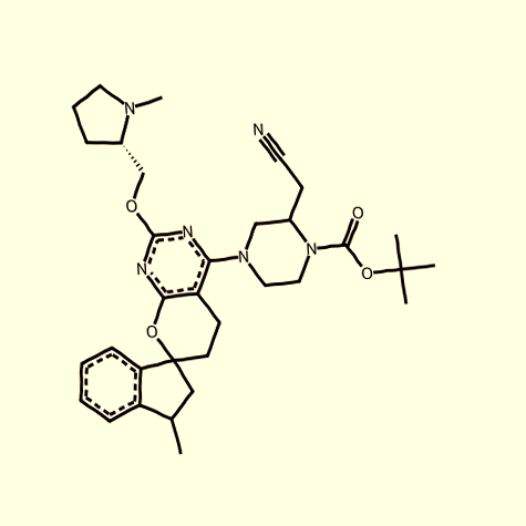 CC1CC2(CCc3c(nc(OC[C@@H]4CCCN4C)nc3N3CCN(C(=O)OC(C)(C)C)C(CC#N)C3)O2)c2ccccc21